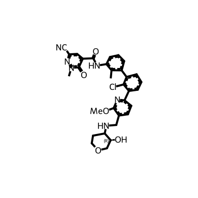 COc1nc(-c2cccc(-c3cccc(NC(=O)c4cc(C#N)nn(C)c4=O)c3C)c2Cl)ccc1CNC1CCOC[C@@H]1O